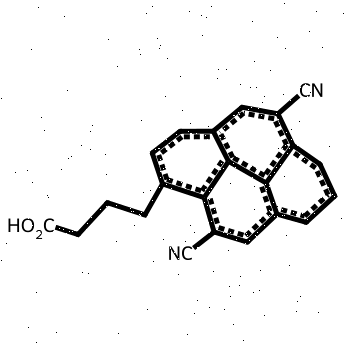 N#Cc1cc2ccc(CCCC(=O)O)c3c(C#N)cc4cccc1c4c23